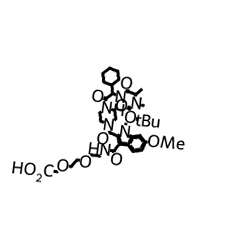 COc1ccc2c(C(=O)NCCOCCOCC(=O)O)c(C(=O)N3CCN(C(=O)C(NC(=O)C(C)N(C)C(=O)OC(C)(C)C)C4CCCCC4)CC3)n(C)c2c1